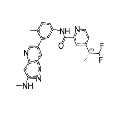 CNc1cc2ncc(-c3cc(NC(=O)c4cc([C@@H](C)C(F)F)ccn4)ccc3C)cc2cn1